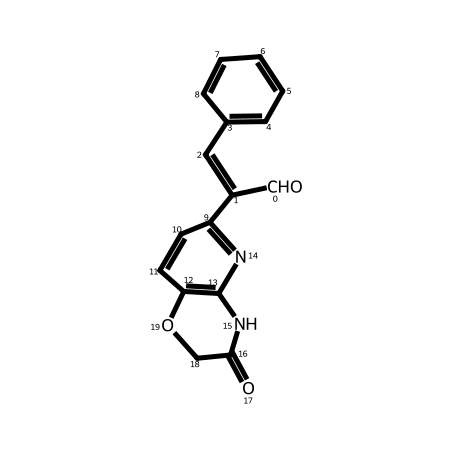 O=CC(=Cc1ccccc1)c1ccc2c(n1)NC(=O)CO2